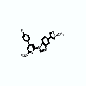 CC(=O)Nc1cc(-c2ccc(F)cc2)cc(-n2cnc3cc(-c4cnn(C)c4)ccc32)n1